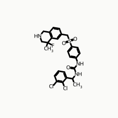 CC(NC(=O)Nc1ccc(S(=O)(=O)Cc2ccc3c(c2)C(C)(F)CNC3)cc1)c1cccc(Cl)c1Cl